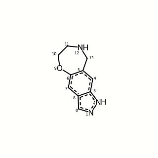 c1n[nH]c2cc3c(cc12)OCCNC3